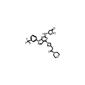 O=C1C[C@H](Nc2nc(N3CC(CC(=O)N4CCOCC4)C3)c3cnn(-c4cccc(C(F)(F)F)c4)c3n2)CN1